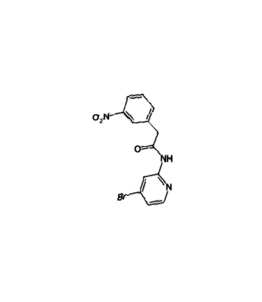 O=C(Cc1cccc([N+](=O)[O-])c1)Nc1cc(Br)ccn1